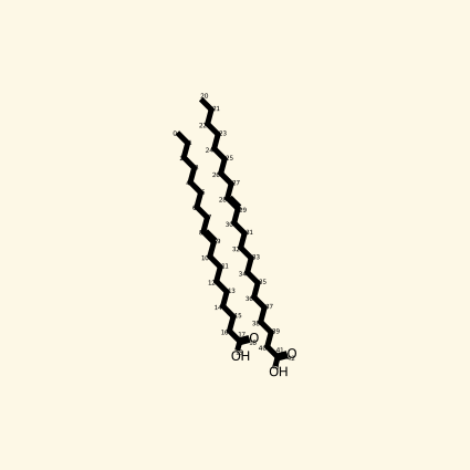 CCCCCCCCC=CCCCCCCCC(=O)O.CCCCCCCCC=CCCCCCCCCCCCC(=O)O